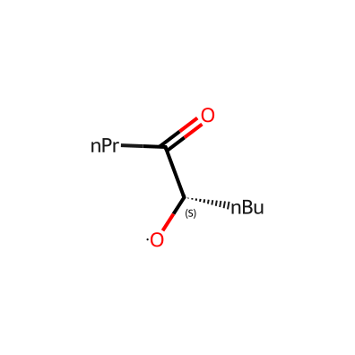 CCCC[C@H]([O])C(=O)CCC